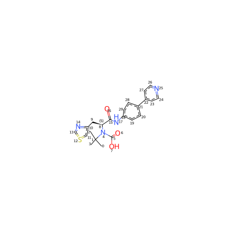 CC(C)(C)N(C(=O)O)[C@@H](Cc1cscn1)C(=O)Nc1ccc(-c2ccncc2)cc1